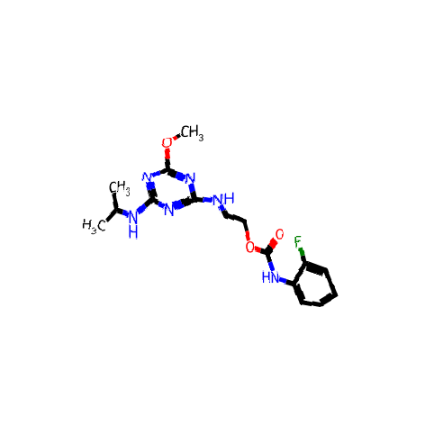 COc1nc(NCCOC(=O)Nc2ccccc2F)nc(NC(C)C)n1